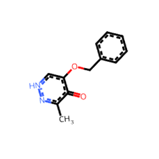 Cc1n[nH]cc(OCc2ccccc2)c1=O